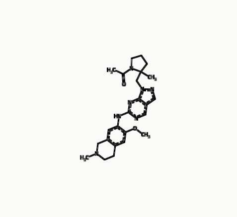 COc1cc2c(cc1Nc1ncc3cnn(CC4(C)CCCN4C(C)=O)c3n1)CN(C)CC2